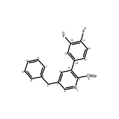 COc1ncc(Cc2c[c]ccc2)cc1-c1ccc(F)c(F)c1